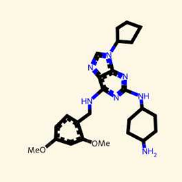 COc1ccc(CNc2nc(NC3CCC(N)CC3)nc3c2ncn3C2CCCC2)c(OC)c1